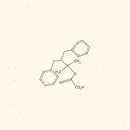 CC(C)(OC(=O)C(=O)O)C(Cc1ccccc1)Cc1ccccc1